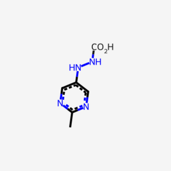 Cc1ncc(NNC(=O)O)cn1